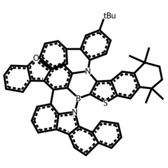 CC(C)(C)c1ccc(N2c3cc4oc5ccccc5c4c4c3B(c3sc5cc6c(cc5c32)C(C)(C)CCC6(C)C)n2c3c-4cccc3c3ccc4ccccc4c32)c(-c2ccccc2)c1